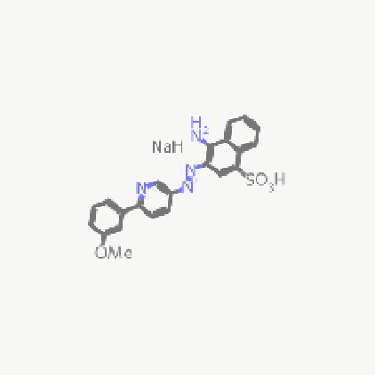 COc1cccc(-c2ccc(/N=N/c3cc(S(=O)(=O)O)c4ccccc4c3N)cn2)c1.[NaH]